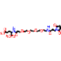 O=C(O)CCC(NC(=O)CCOCCOCCOCCOCCNC(=O)CCN1C(=O)C=CC1=O)C(=O)O